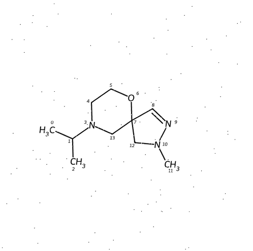 CC(C)N1CCOC2(C=NN(C)C2)C1